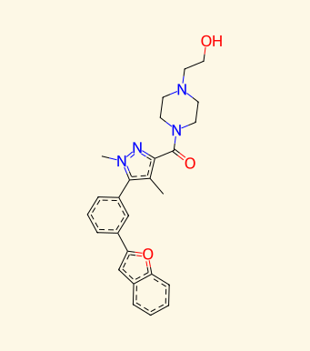 Cc1c(C(=O)N2CCN(CCO)CC2)nn(C)c1-c1cccc(-c2cc3ccccc3o2)c1